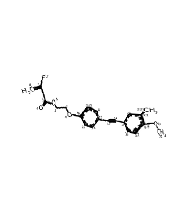 C=C(F)C(=O)OCCOc1ccc(C#Cc2ccc(OC)c(C)c2)cc1